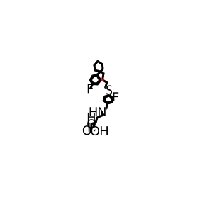 O=[PH](O)OCCCNCc1ccc(SCCCCC2(c3ccc(F)cc3)CCCCC2)c(F)c1